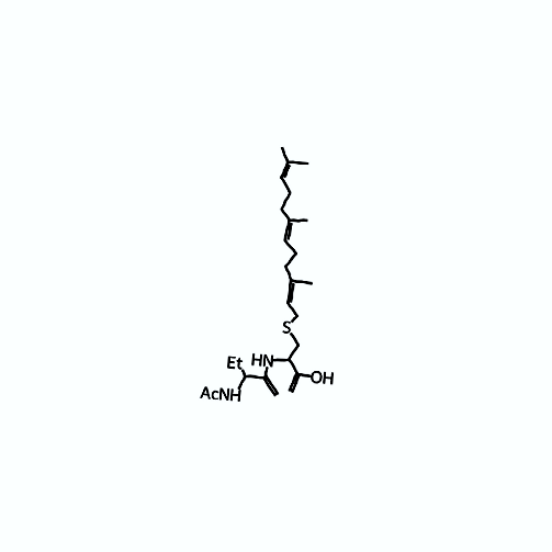 C=C(O)C(CSC/C=C(\C)CC/C=C(\C)CCC=C(C)C)NC(=C)C(CC)NC(C)=O